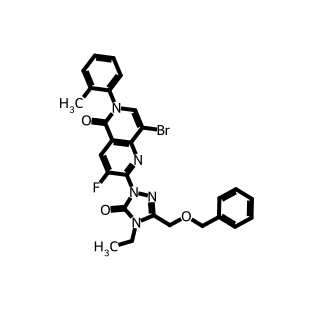 CCn1c(COCc2ccccc2)nn(-c2nc3c(Br)cn(-c4ccccc4C)c(=O)c3cc2F)c1=O